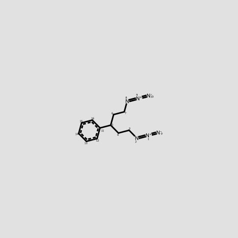 [N-]=[N+]=NCCC(CCN=[N+]=[N-])c1ccccc1